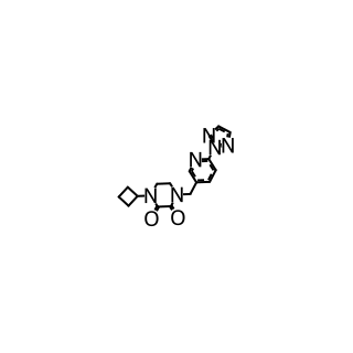 O=C1C(=O)N(C2CCC2)CCN1Cc1ccc(-n2nccn2)nc1